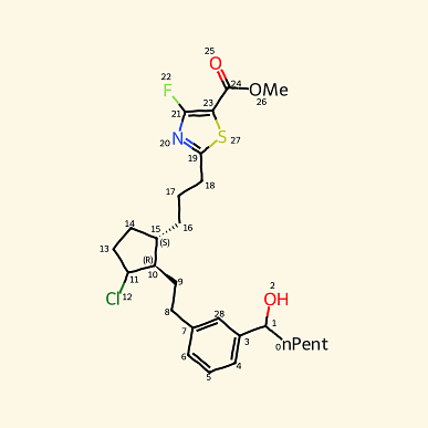 CCCCCC(O)c1cccc(CC[C@H]2C(Cl)CC[C@@H]2CCCc2nc(F)c(C(=O)OC)s2)c1